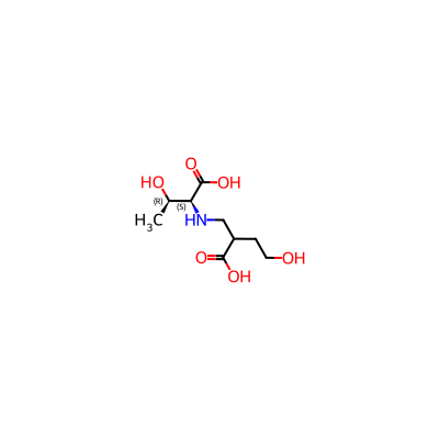 C[C@@H](O)[C@H](NCC(CCO)C(=O)O)C(=O)O